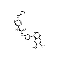 COc1cc2ncnc(N3CCC(OC(=O)Nc4ccc(OC5CCC5)nc4)C3)c2cc1OC